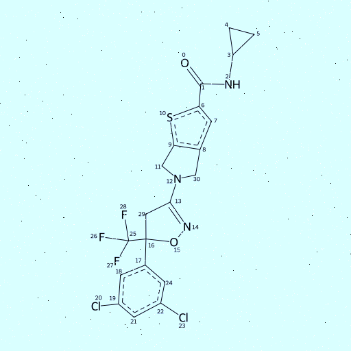 O=C(NC1CC1)c1cc2c(s1)CN(C1=NOC(c3cc(Cl)cc(Cl)c3)(C(F)(F)F)C1)C2